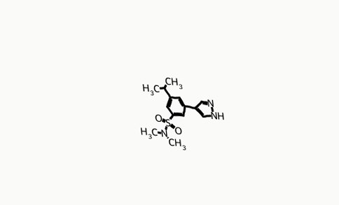 CC(C)c1cc(-c2cn[nH]c2)cc(S(=O)(=O)N(C)C)c1